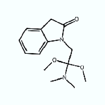 COC(CN1C(=O)Cc2ccccc21)(OC)N(C)C